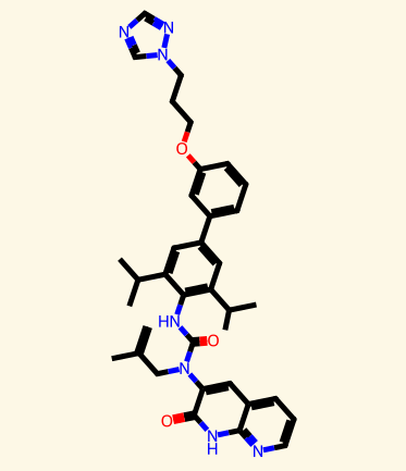 C=C(C)CN(C(=O)Nc1c(C(C)C)cc(-c2cccc(OCCCn3cncn3)c2)cc1C(C)C)c1cc2cccnc2[nH]c1=O